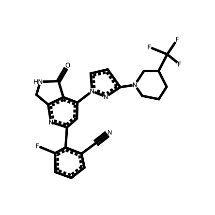 N#Cc1cccc(F)c1-c1cc(-n2ccc(N3CCCC(C(F)(F)F)C3)n2)c2c(n1)CNC2=O